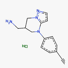 C#Cc1ccc(N2CC(CN)Cn3nccc32)cc1.Cl